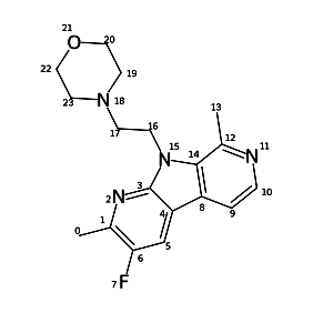 Cc1nc2c(cc1F)c1ccnc(C)c1n2CCN1CCOCC1